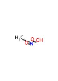 CCCO/B=N/C(=O)CO